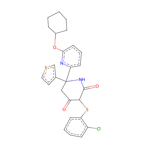 O=C1CC(c2ccsc2)(c2cccc(OC3CCCCC3)n2)NC(=O)C1Sc1ccccc1Cl